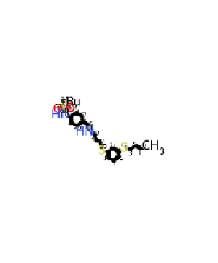 C/C=C/CSc1cccc(SCCCNCC2CCC(NS(=O)(=O)C(C)(C)C)CC2)c1